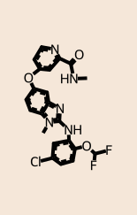 CNC(=O)c1cc(Oc2ccc3c(c2)nc(Nc2cc(Cl)ccc2OC(F)F)n3C)ccn1